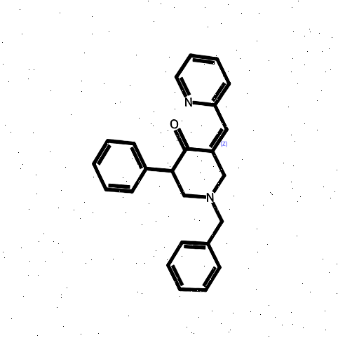 O=C1/C(=C\c2ccccn2)CN(Cc2ccccc2)CC1c1ccccc1